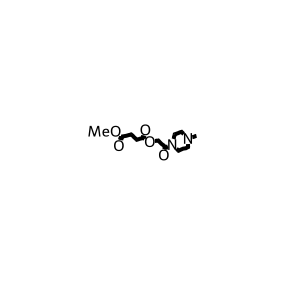 COC(=O)CCC(=O)OCC(=O)N1CCN(C)CC1